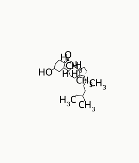 CCC(CC)CC[C@@H](C)[C@H]1CC[C@H]2[C@@H]3CC(=O)[C@H]4CC[C@H](O)C[C@]4(C)[C@H]3CC[C@]12C